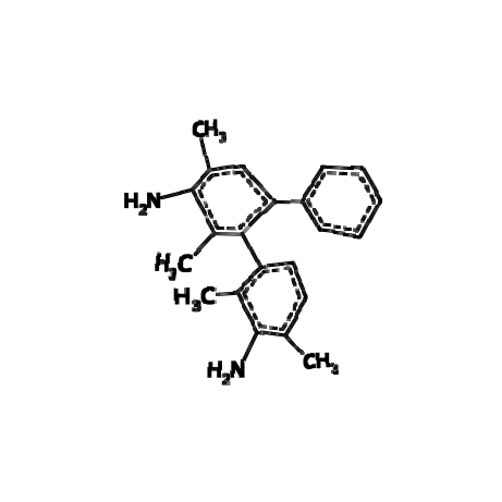 Cc1ccc(-c2c(-c3ccccc3)cc(C)c(N)c2C)c(C)c1N